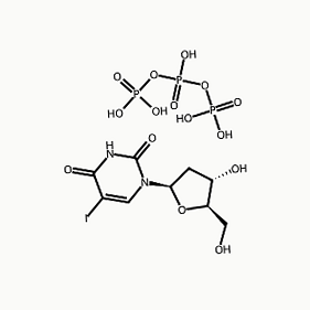 O=P(O)(O)OP(=O)(O)OP(=O)(O)O.O=c1[nH]c(=O)n([C@H]2C[C@H](O)[C@@H](CO)O2)cc1I